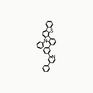 c1ccc(-c2ccnc(-c3cccc(-c4cccc5c6c7sc8ccccc8c7ccc6n(-c6ccccc6)c45)c3)c2)cc1